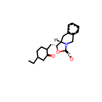 CCC1CCC(C[C@H]2OC(=C=O)N3Cc4ccccc4C[C@@H]23)C(=O)C1